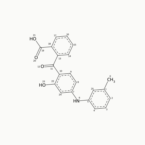 Cc1cccc(Nc2ccc(C(=O)c3ccccc3C(=O)O)c(O)c2)c1